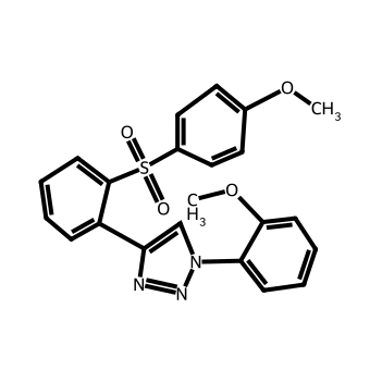 COc1ccc(S(=O)(=O)c2ccccc2-c2cn(-c3ccccc3OC)nn2)cc1